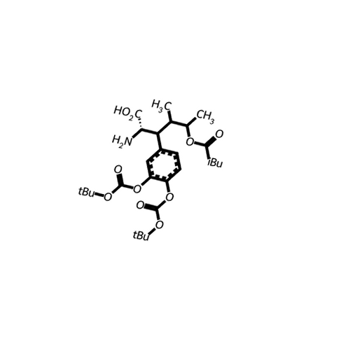 CCC(C)C(=O)OC(C)C(C)C(c1ccc(OC(=O)OC(C)(C)C)c(OC(=O)OC(C)(C)C)c1)[C@H](N)C(=O)O